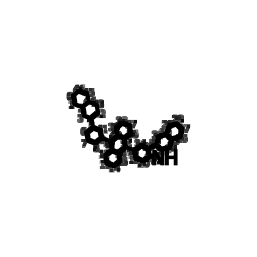 C1=CC2=CC(c3cccc(-c4c5ccccc5c(-c5ccc6[nH]c7cc8ccccc8cc7c6c5)c5ccccc45)c3)=CCC2C=C1